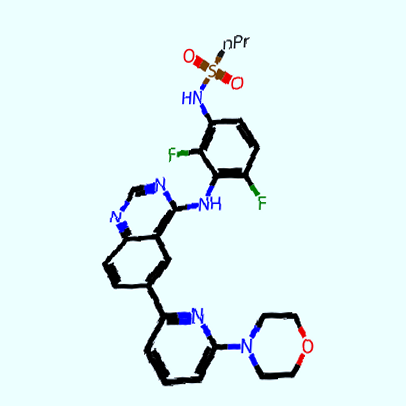 CCCS(=O)(=O)Nc1ccc(F)c(Nc2ncnc3ccc(-c4cccc(N5CCOCC5)n4)cc23)c1F